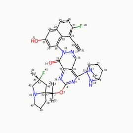 [2H]C([2H])(Oc1nc(N2CC3CCC2CN3)c2cnn(-c3cc(O)cc4ccc(F)c(C#C)c34)c(=O)c2n1)[C@@]12CCCN1C[C@]([2H])(F)C2